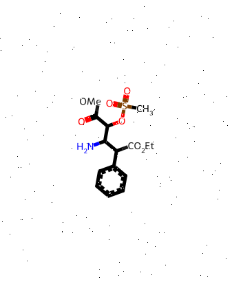 CCOC(=O)C(c1ccccc1)C(N)C(OS(C)(=O)=O)C(=O)OC